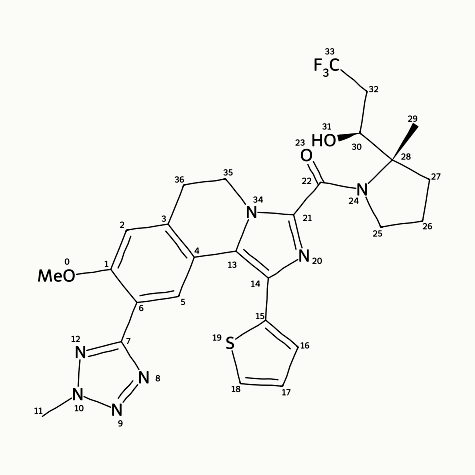 COc1cc2c(cc1-c1nnn(C)n1)-c1c(-c3cccs3)nc(C(=O)N3CCC[C@@]3(C)[C@@H](O)CC(F)(F)F)n1CC2